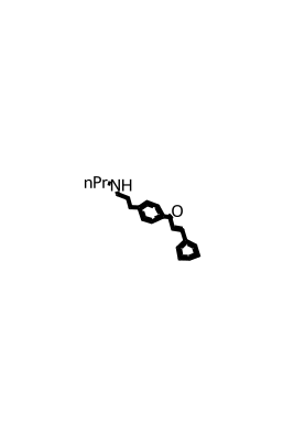 CCCNCCCc1ccc(C(=O)C=Cc2ccccc2)cc1